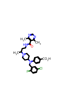 Cc1ncnc(C)c1C(=O)NCCC(C)N1CCC(N(Cc2cc(Cl)ccc2F)c2ccc(C(=O)O)cc2)CC1